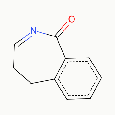 O=C1N=CCCc2ccccc21